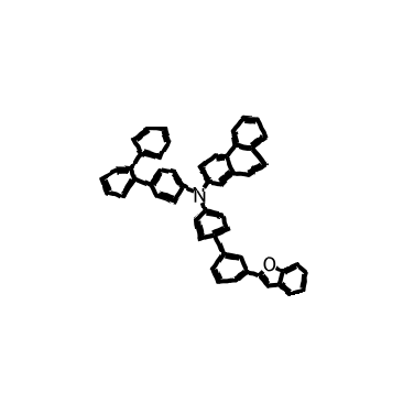 c1ccc(-c2ccccc2-c2ccc(N(c3ccc(-c4cccc(-c5cc6ccccc6o5)c4)cc3)c3ccc4c(ccc5ccccc54)c3)cc2)cc1